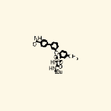 Cc1ccc(Oc2cccc(-c3ccc(C(N)=O)cc3)c2)c(S(=O)(=O)NC(=O)NC(C)(C)C)c1